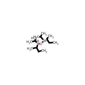 CCC(C)[SiH](O[SiH](C(C)C)C(C)CC)C(C)C